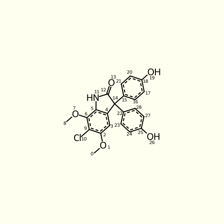 COc1cc2c(c(OC)c1Cl)NC(=O)C2(c1ccc(O)cc1)c1ccc(O)cc1